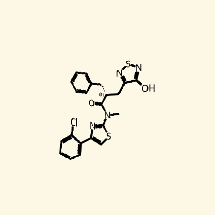 CN(C(=O)[C@H](Cc1ccccc1)Cc1nsnc1O)c1nc(-c2ccccc2Cl)cs1